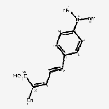 CCCN(CCC)c1ccc(C=CC=C(C#N)C(=O)O)cc1